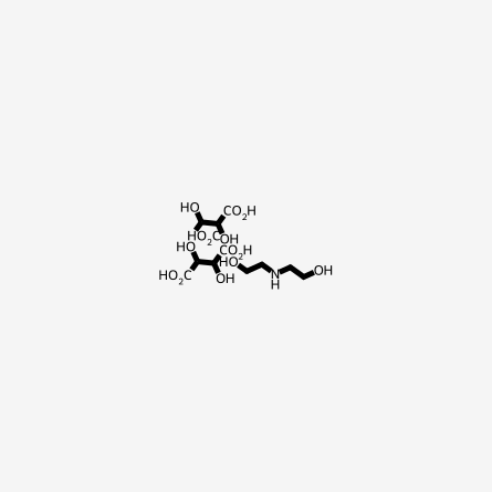 O=C(O)C(O)C(O)C(=O)O.O=C(O)C(O)C(O)C(=O)O.OCCNCCO